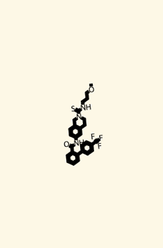 COCCCNC(=S)N1CCc2cc(NC(=O)c3ccccc3-c3ccc(C(F)(F)F)cc3)ccc2C1